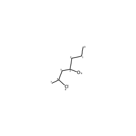 CCCC([O])CC(C)Cl